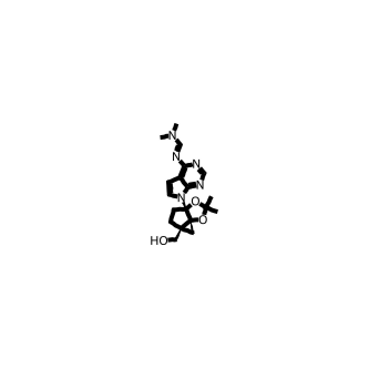 CN(C)/C=N/c1ncnc2c1ccn2[C@]12CC[C@@]3(CO)C[C@@]31OC(C)(C)O2